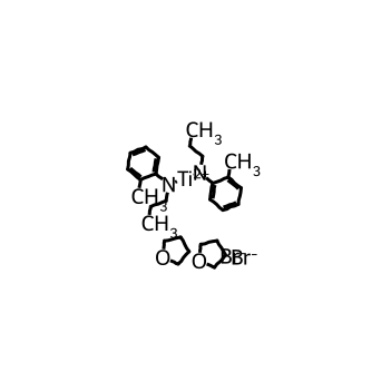 C1CCOC1.C1CCOC1.CCC[N]([Ti+2][N](CCC)c1ccccc1C)c1ccccc1C.[Br-].[Br-]